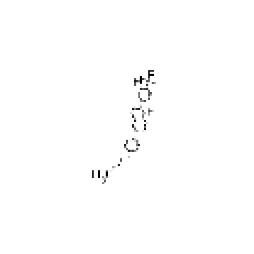 CCCCCc1ccc(-c2ccc3c(F)c(-c4ccc(C(F)(F)F)c(F)c4)ccc3c2)cc1